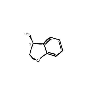 S[C@@H]1COc2ccccc21